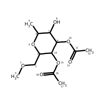 COCC1OC(C)C(O)C(OC(C)=O)C1OC(C)=O